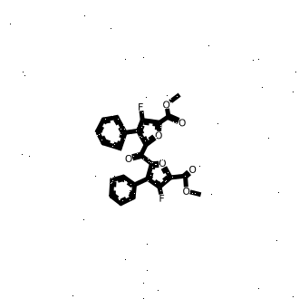 COC(=O)c1oc(C(=O)c2oc(C(=O)OC)c(F)c2-c2ccccc2)c(-c2ccccc2)c1F